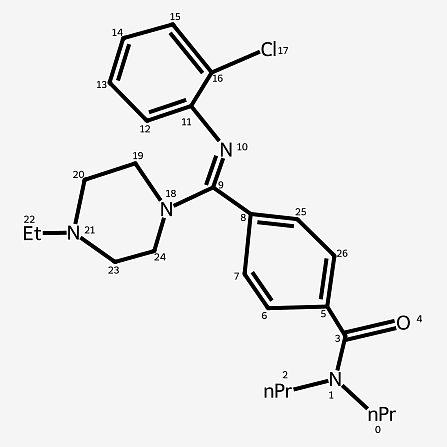 CCCN(CCC)C(=O)c1ccc(C(=Nc2ccccc2Cl)N2CCN(CC)CC2)cc1